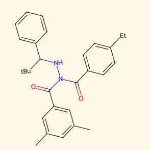 CCc1ccc(C(=O)N(NC(c2ccccc2)C(C)(C)C)C(=O)c2cc(C)cc(C)c2)cc1